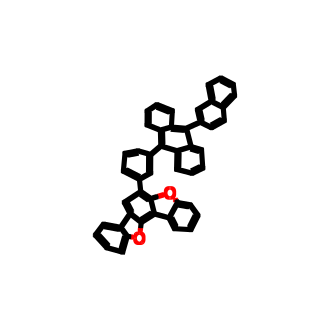 c1cc(-c2c3ccccc3c(-c3ccc4ccccc4c3)c3ccccc23)cc(-c2cc3c4ccccc4oc3c3c2oc2ccccc23)c1